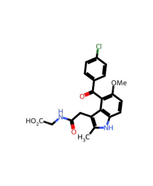 COc1ccc2[nH]c(C)c(CC(=O)NCC(=O)O)c2c1C(=O)c1ccc(Cl)cc1